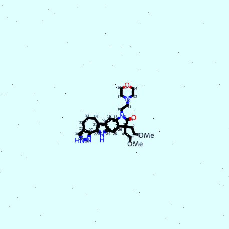 COCCC1(CCOC)C(=O)N(CCN2CCOCC2)c2cc3c4c([nH]c3cc21)-c1n[nH]cc1CCC4